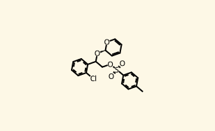 Cc1ccc(S(=O)(=O)OCC(O[C@@H]2C=CC=CO2)c2ccccc2Cl)cc1